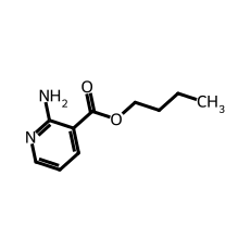 CCCCOC(=O)c1cccnc1N